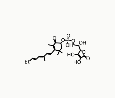 CC/C=C/C=C(C)/C=C/C1=C(C)C(=O)C(OP(=O)(O)OC[C@H](O)[C@H]2OC(=O)C(O)=C2O)CC1(C)C